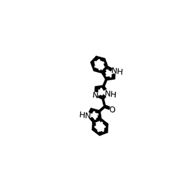 O=C(c1ncc(-c2c[nH]c3ccccc23)[nH]1)c1c[nH]c2ccccc12